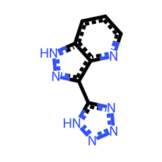 c1cnc2c(-c3nnn[nH]3)n[nH]c2c1